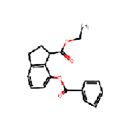 CCOC(=O)C1CCc2cccc(OC(=O)c3ccccc3)c21